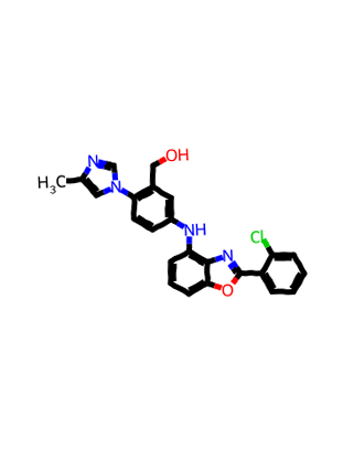 Cc1cn(-c2ccc(Nc3cccc4oc(-c5ccccc5Cl)nc34)cc2CO)cn1